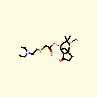 CCN(CC)CCSCC(=O)O[C@@H]1CC(C)(C)[C@@H](C)CC23CCCC1C2C(=O)CC3